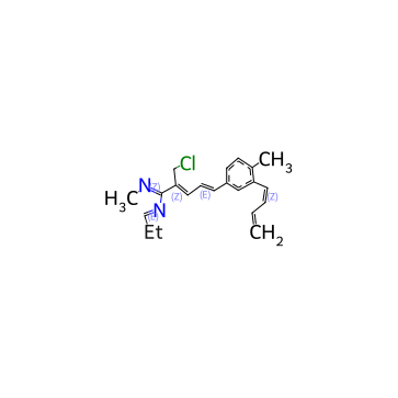 C=C/C=C\c1cc(/C=C/C=C(CCl)/C(=N/C)/N=C/CC)ccc1C